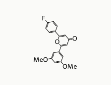 COc1cc(OC)cc(-c2cc(=O)cc(-c3ccc(F)cc3)o2)c1